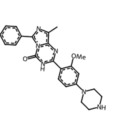 COc1cc(N2CCNCC2)ccc1-c1nc2c(C)nc(-c3ccccc3)n2c(=O)[nH]1